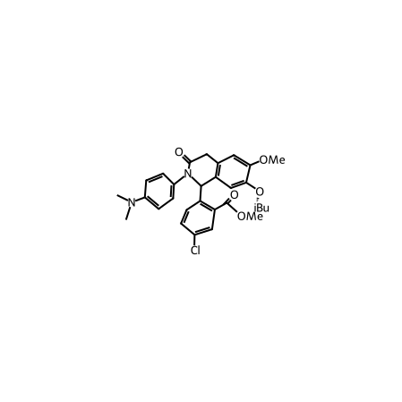 CC[C@@H](C)Oc1cc2c(cc1OC)CC(=O)N(c1ccc(N(C)C)cc1)C2c1ccc(Cl)cc1C(=O)OC